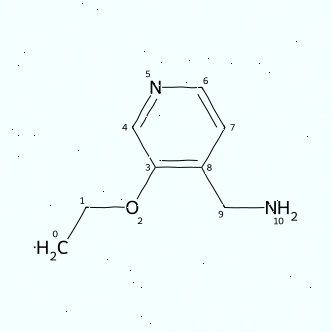 [CH2]COc1cnccc1CN